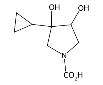 O=C(O)N1CC(O)C(O)(C2CC2)C1